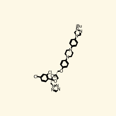 CCC(C)N1CN(c2ccc(N3CCN(c4ccc(OC[C@@H]5CO[C@@](Cn6ncnn6)(c6ccc(Cl)cc6Cl)O5)cc4)CC3)cc2)C=N1